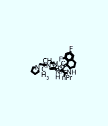 CCCC(NC1CCc2cc(F)cc(F)c2C1(C)C)C(=O)Nc1cn(C(C)(C)CN2CCCC2)cn1